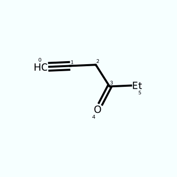 C#CCC(=O)CC